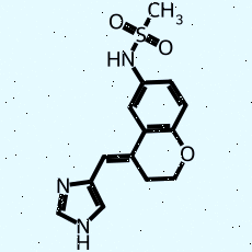 CS(=O)(=O)Nc1ccc2c(c1)/C(=C/c1c[nH]cn1)CCO2